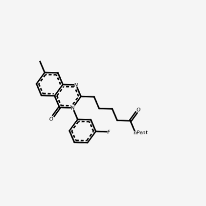 CCCCCC(=O)CCCCc1nc2cc(C)ccc2c(=O)n1-c1cccc(F)c1